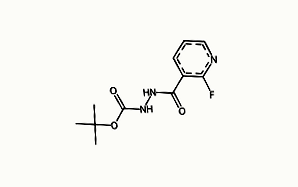 CC(C)(C)OC(=O)NNC(=O)c1cccnc1F